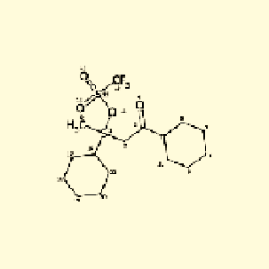 CS(CC(=O)C1CCCCC1)(OS(=O)(=O)C(F)(F)F)C1CCCCC1